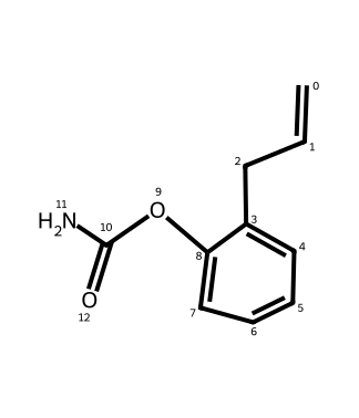 C=CCc1ccccc1OC(N)=O